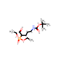 CCOP(=O)(OCC)C(C=O)CCCNC(=O)OC(C)(C)C